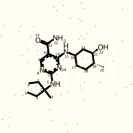 CCC(C)(CC)Nc1ncc(C(N)=O)c(NC2CC[C@@H](C)[C@H](O)C2)n1